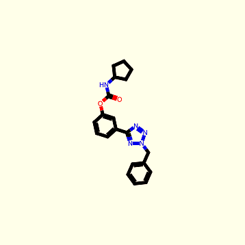 O=C(NC1CCCC1)Oc1cccc(-c2nnn(Cc3ccccc3)n2)c1